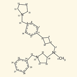 CN(CC1CC(c2ccc(CN3CCCC3)cc2)C1)C1CCN(Cc2ccccc2)C1